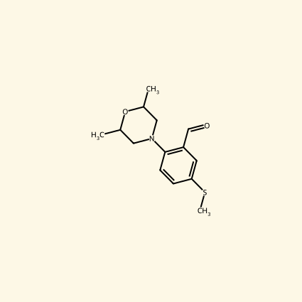 CSc1ccc(N2CC(C)OC(C)C2)c(C=O)c1